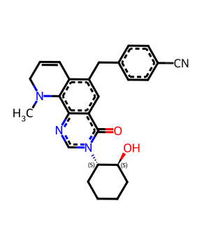 CN1CC=Cc2c(Cc3ccc(C#N)cc3)cc3c(=O)n([C@H]4CCCC[C@@H]4O)cnc3c21